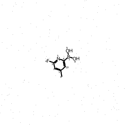 Cc1cc(F)nc(B(O)O)c1